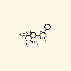 C=C(OC(=O)c1c[c]ccc1)c1ccc2c(c1)C(C)(C)CCC2(C)C